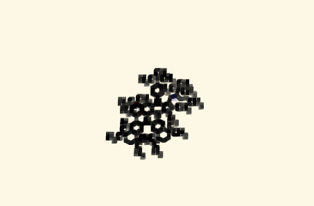 CCC/C(=C\c1c(C)sc2c1N(c1ccc(C(C)(C)C)cc1)c1cc(C(C)(C)C)cc3c1B2c1cc2c(cc1N3c1cc3c(cc1-c1ccccc1)C(C)(C)CCC3(C)C)C(C)(C)CCC2(C)C)C(C)(C)C